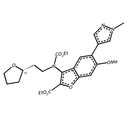 CCOC(=O)c1oc2cc(OC)c(-c3cnn(C)c3)cc2c1N(CC[C@@H]1CCCO1)C(=O)OCC